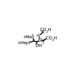 CCCCCCCCCC(CCCCCCC)C(O)[SH](CC(=O)O)SCC(=O)O